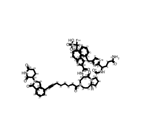 NC(=O)CCC(NC(=O)[C@@H]1CC[C@@H]2CCN(C(=O)CCCCCC#Cc3cccc4c3CN(C3CCC(=O)NC3=O)C4=O)C[C@H](NC(=O)c3cc4cc(C(F)(F)P(=O)(O)O)ccc4s3)C(=O)N21)c1nc(Cc2ccccc2)cs1